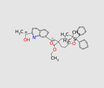 CCOC(=O)C1(/C=C/c2ccc3ccc([C@@H](C)O)nc3c2)CCC(O[Si](c2ccccc2)(c2ccccc2)C(C)(C)C)CC1